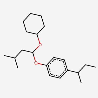 CCC(C)c1ccc(OC(CC(C)C)OC2CCCCC2)cc1